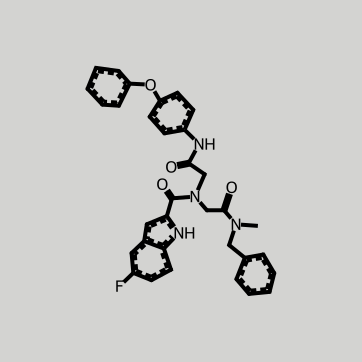 CN(Cc1ccccc1)C(=O)CN(CC(=O)Nc1ccc(Oc2ccccc2)cc1)C(=O)c1cc2cc(F)ccc2[nH]1